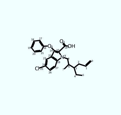 C=CCC(CC)C(C)Cn1c(C(=O)O)c(Oc2ccccc2)c2cc(Cl)ccc21